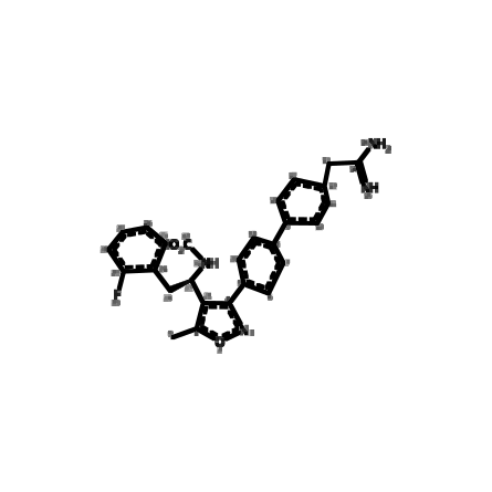 Cc1onc(-c2ccc(-c3ccc(CC(=N)N)cc3)cc2)c1[C@@H](Cc1ccccc1F)NC(=O)O